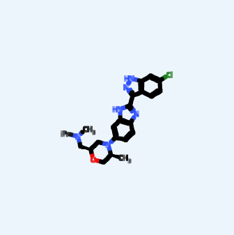 CC(C)N(C)C[C@H]1CN(c2ccc3nc(-c4n[nH]c5cc(Cl)ccc45)[nH]c3c2)[C@@H](C)CO1